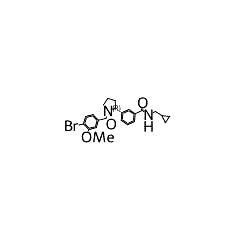 COc1cc(C(=O)N2CCC[C@@H]2c2cccc(C(=O)NCC3CC3)c2)ccc1Br